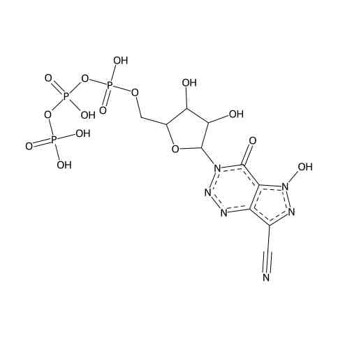 N#Cc1nn(O)c2c(=O)n(C3OC(COP(=O)(O)OP(=O)(O)OP(=O)(O)O)C(O)C3O)nnc12